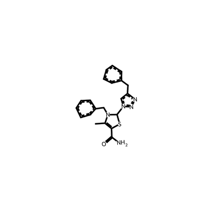 CC1=C(C(N)=O)SC(n2cc(Cc3ccccc3)nn2)N1Cc1ccccc1